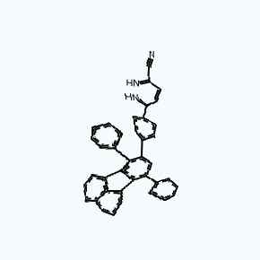 N#CC(=N)/C=C\C(=N)c1ccc(-c2cc(-c3ccccc3)c3c(c2-c2ccccc2)-c2cccc4cccc-3c24)cc1